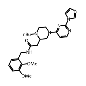 CCCCN1CCN(c2ccnc(-n3ccnc3)n2)CC1CC(=O)NCc1cccc(OC)c1OC